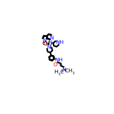 CN(C)C/C=C/C(=O)Nc1cccc(C2CCN(C(=O)N(c3nccc4ccn(C)c34)[C@@H]3CCCNC3)CC2)c1